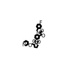 O=C1C(=O)N(Cc2ccc(F)cc2)c2ccc(S(=O)(=O)N3CCCC3COc3cccnc3)cc21